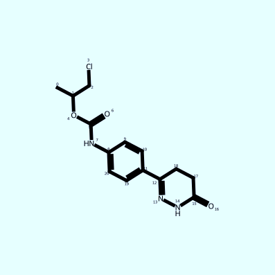 CC(CCl)OC(=O)Nc1ccc(C2=NNC(=O)CC2)cc1